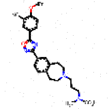 CC(C)Oc1ccc(-c2nc(-c3ccc4c(c3)CCN(CCCN(C)C(=O)O)CC4)no2)cc1C#N